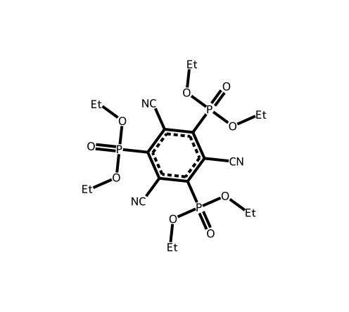 CCOP(=O)(OCC)c1c(C#N)c(P(=O)(OCC)OCC)c(C#N)c(P(=O)(OCC)OCC)c1C#N